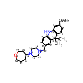 COc1ccc2c(c1)Nc1ccc(CN3CCN(C4CCCOCC4)CC3)cc1C2(C)C